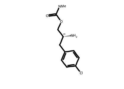 CNC(=O)OC[C@H](N)Cc1ccc(Cl)cc1